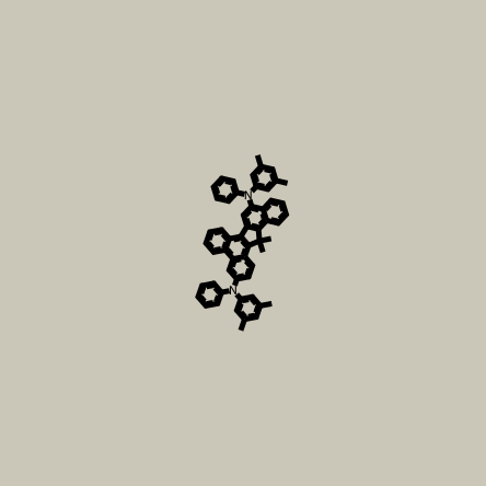 Cc1cc(C)cc(N(c2ccccc2)c2ccc3c4c(c5ccccc5c3c2)-c2cc(N(c3ccccc3)c3cc(C)cc(C)c3)c3ccccc3c2C4(C)C)c1